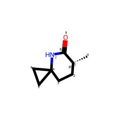 C[C@@H]1CCC2(CC2)NC1=O